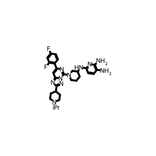 CC(C)N1CCC(c2nc3cc(-c4ccc(F)cc4F)nc(N4CCCC(Nc5ccc(N)c(N)n5)C4)n3n2)CC1